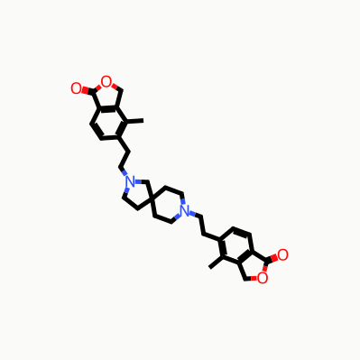 Cc1c(CCN2CCC3(CC2)CCN(CCc2ccc4c(c2C)COC4=O)C3)ccc2c1COC2=O